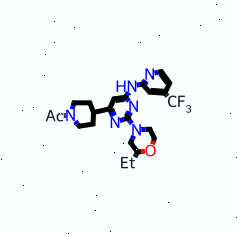 CCC1CN(c2nc(Nc3cc(C(F)(F)F)ccn3)cc(C3CCN(C(C)=O)CC3)n2)CCO1